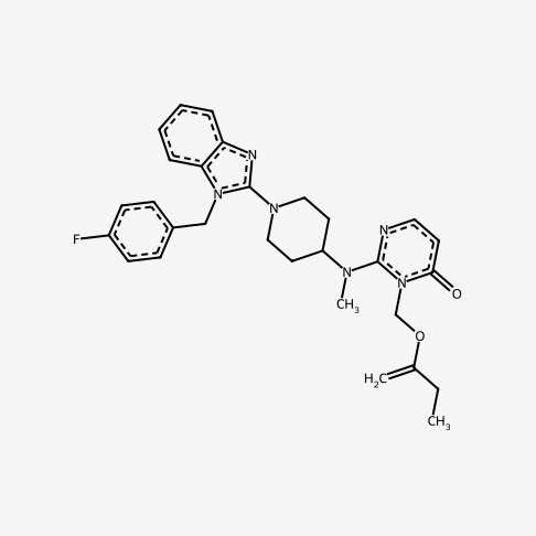 C=C(CC)OCn1c(N(C)C2CCN(c3nc4ccccc4n3Cc3ccc(F)cc3)CC2)nccc1=O